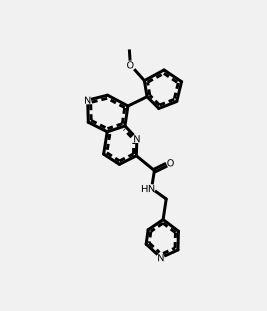 COc1ccccc1-c1cncc2ccc(C(=O)NCc3ccncc3)nc12